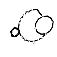 c1ccc2c(c1)OCCNCCN1CCOCCN(CCNCCO2)CCOCC1